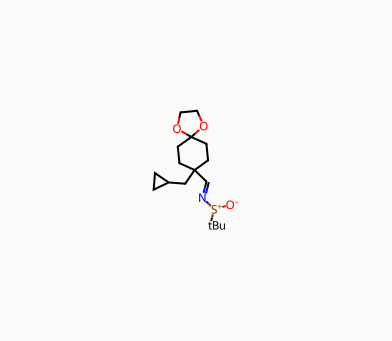 CC(C)(C)[S+]([O-])/N=C/C1(CC2CC2)CCC2(CC1)OCCO2